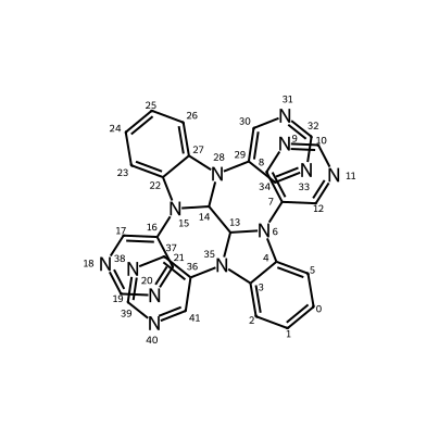 c1ccc2c(c1)N(c1cncnc1)C(C1N(c3cncnc3)c3ccccc3N1c1cncnc1)N2c1cncnc1